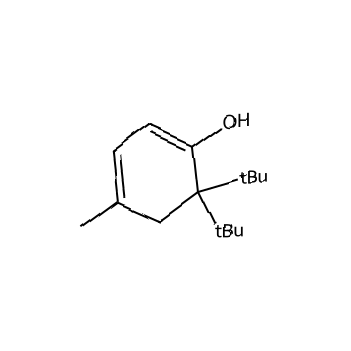 CC1=CC=C(O)C(C(C)(C)C)(C(C)(C)C)C1